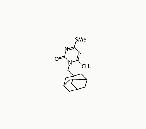 CSc1nc(C)n(CC23CC4CC(CC(C4)C2)C3)c(=O)n1